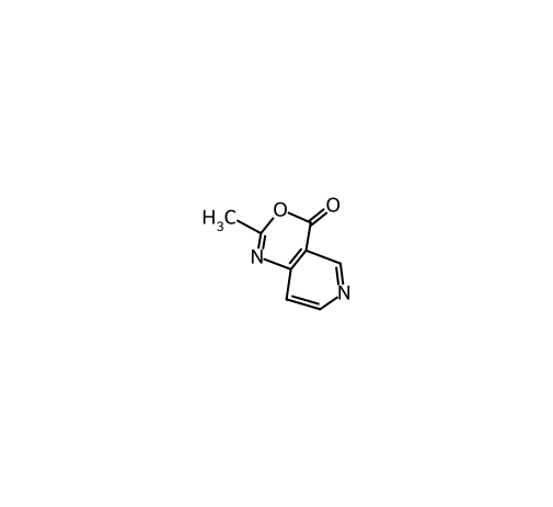 Cc1nc2ccncc2c(=O)o1